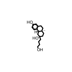 C[C@@]12CCc3cc(O)ccc3[C@H]1C[C@](O)(CCCCO)CC2